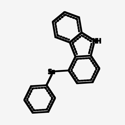 c1ccc([Se]c2cccc3[nH]c4ccccc4c23)cc1